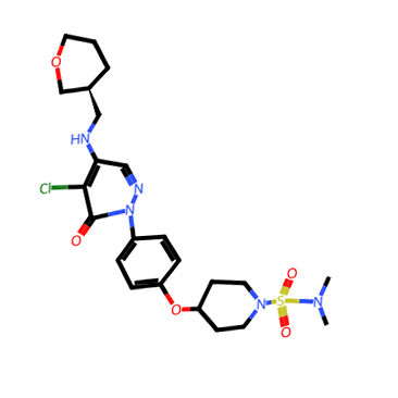 CN(C)S(=O)(=O)N1CCC(Oc2ccc(-n3ncc(NC[C@@H]4CCCOC4)c(Cl)c3=O)cc2)CC1